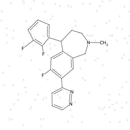 CN1CCC(c2cccc(F)c2F)c2cc(F)c(-c3cccnn3)cc2C1